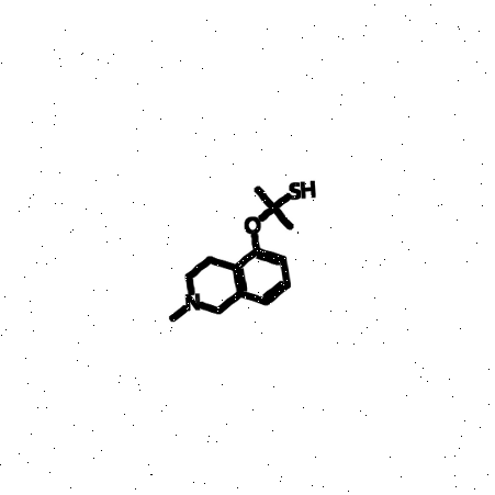 CN1CCc2c(cccc2OC(C)(C)S)C1